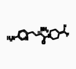 Nc1ccc(CC[C@H](N)C(=O)N2CCC(=C(F)F)CC2)nc1